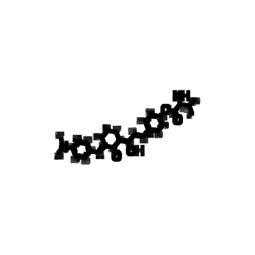 CC(C)C(N)C(=O)Oc1ccc(/C=C/C(O)=C2\CCC/C(=C\c3ccc(N(C)C)cc3)C2=O)cc1